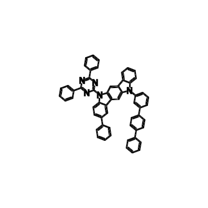 c1ccc(-c2ccc(-c3cccc(-n4c5ccccc5c5cc6c(cc54)c4cc(-c5ccccc5)ccc4n6-c4nc(-c5ccccc5)nc(-c5ccccc5)n4)c3)cc2)cc1